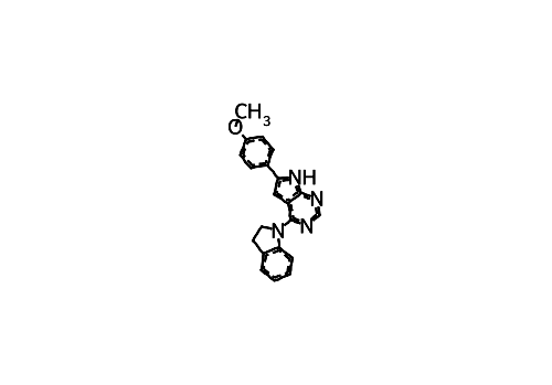 COc1ccc(-c2cc3c(N4CCc5ccccc54)ncnc3[nH]2)cc1